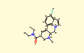 CCN(CC)C(=O)C1C=C2c3ccc(F)c4ccn(c34)CC2N(C)C1